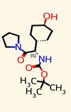 CC(C)(C)OC(=O)N[C@H](C(=O)N1CCCC1)[C@H]1CC[C@H](O)CC1